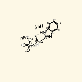 CCCOS(=O)(=O)NC(=S)Sc1nc2ccccc2[nH]1.[NaH]